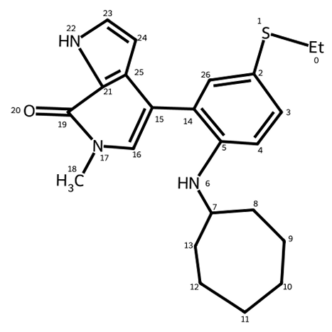 CCSc1ccc(NC2CCCCCC2)c(-c2cn(C)c(=O)c3[nH]ccc23)c1